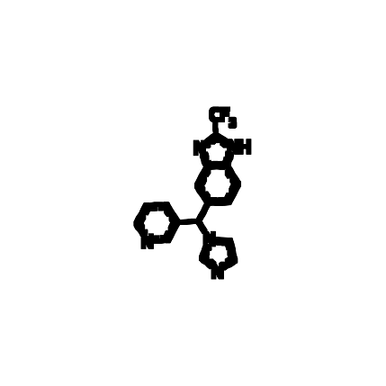 FC(F)(F)c1nc2cc(C(c3cccnc3)n3ccnc3)ccc2[nH]1